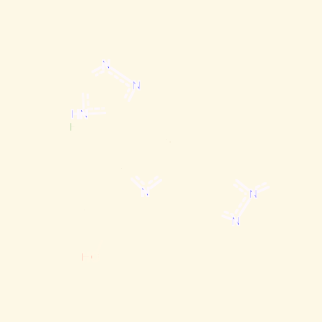 Cc1nn2ccccc2c1-c1nc(-c2c(F)cccc2CO)c(-c2nnc[nH]2)s1